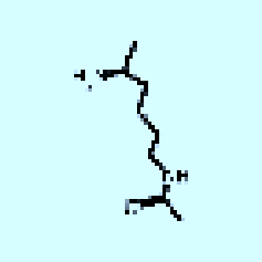 CC(=O)NCCCCC(C)N